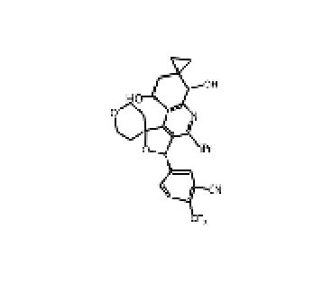 CC(C)c1nc2c(c3c1[C@@H](c1ccc(C(F)(F)F)c(C#N)c1)OC31CCOCC1)C(O)CC1(CC1)[C@H]2O